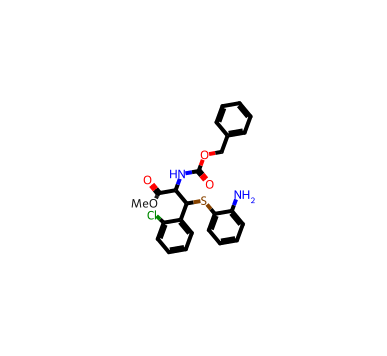 COC(=O)C(NC(=O)OCc1ccccc1)C(Sc1ccccc1N)c1ccccc1Cl